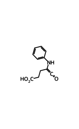 O=C=C(CCC(=O)O)Nc1ccccc1